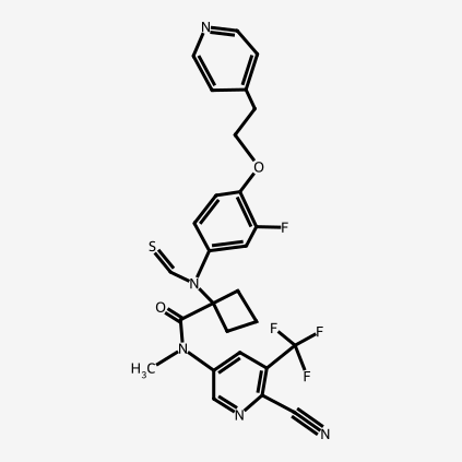 CN(C(=O)C1(N(C=S)c2ccc(OCCc3ccncc3)c(F)c2)CCC1)c1cnc(C#N)c(C(F)(F)F)c1